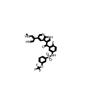 CN/C=C(\C=N)c1cnc2[nH]cc(C(=O)c3cc(NS(=O)(=O)c4cccc(OC(F)(F)F)c4)ccc3F)c2c1